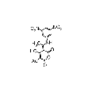 CC(=O)C1=C(O)/C(=C(\C)Nc2cc([N+](=O)[O-])cc([N+](=O)[O-])c2)C(=O)OC1=O